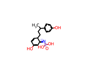 CC(CCC1C=CC(O)=C/C1=N\P(=O)(O)O)c1ccc(O)cc1